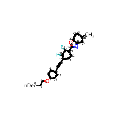 CCCCCCCCCCCCOc1ccc(C#Cc2ccc(-c3nc4cc(C)ccc4o3)c(F)c2F)cc1